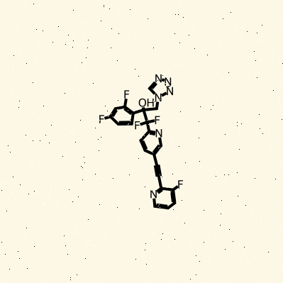 OC(Cn1cnnn1)(c1ccc(F)cc1F)C(F)(F)c1ccc(C#Cc2ncccc2F)cn1